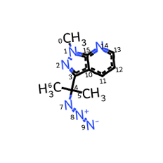 Cn1nc(C(C)(C)N=[N+]=[N-])c2cccnc21